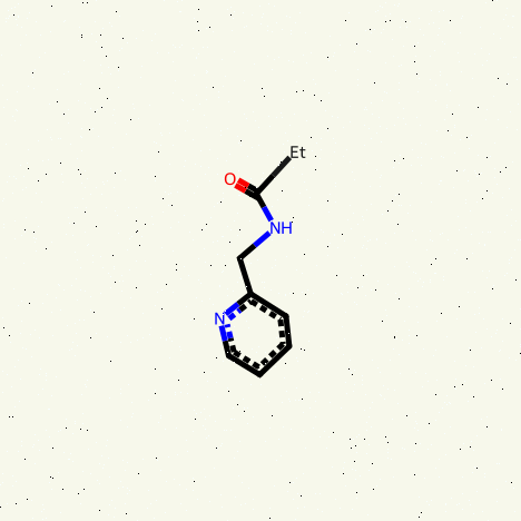 [CH2]CC(=O)NCc1ccccn1